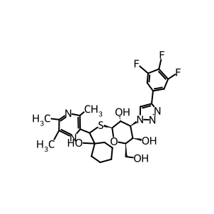 Cc1nc(C)c(C(S[C@@H]2O[C@H](CO)[C@H](O)[C@H](n3cc(-c4cc(F)c(F)c(F)c4)nn3)[C@H]2O)C2(O)CCCCC2)nc1C